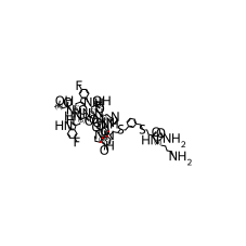 COc1ccc(C[C@H](NC(=O)[C@H](Cc2ncc[nH]2)NC(=O)[C@H](CC(=O)O)NC(=O)[C@H](Cc2c[nH]c3ccc(F)cc23)NC(=O)[C@H](Cc2c[nH]c3ccc(F)cc23)NC(=O)C[C@@H](C)O)C(=O)N2CCC[C@@]2(C)C(=O)NCCSCc2cccc(CSCCC(=O)N[C@@H](CCCCN)C(N)=O)c2)cc1